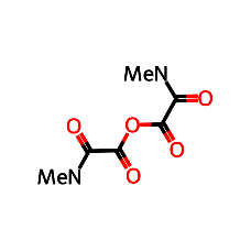 CNC(=O)C(=O)OC(=O)C(=O)NC